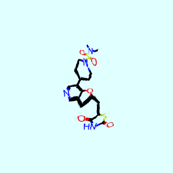 CN(C)S(=O)(=O)N1CC=C(c2cncc3cc(C=C4SC(=O)NC4=O)oc23)CC1